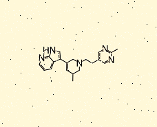 Cc1ncc(CCN2CC(c3c[nH]c4ncccc34)=CC(C)C2)cn1